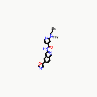 CCCN(CCC(C)CC)c1cc(C(=O)Nc2cc3cc(-c4cnco4)ccc3cn2)ccn1